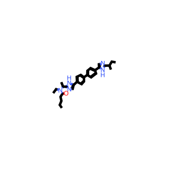 CCCCC(=O)N(CC)C(C)c1ncc(-c2ccc(-c3ccc(-c4cnc(C(C)CC)[nH]4)cc3)cc2)[nH]1